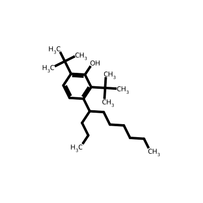 CCCCCCC(CCC)c1ccc(C(C)(C)C)c(O)c1C(C)(C)C